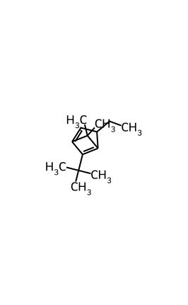 CCC1[C]=C2C(C(C)(C)C)=C1C2(C)C